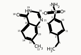 CCc1ccc(S(N)(=O)=O)cc1.Cc1ccc2c(=O)[nH]cnc2c1